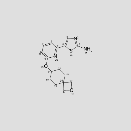 Nc1ncc(-c2ccnc(OC3CCC4(CC3)COC4)n2)s1